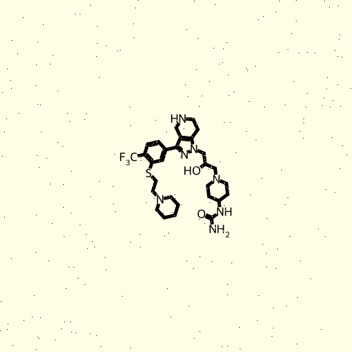 NC(=O)NC1CCN(CC(O)Cn2nc(-c3ccc(C(F)(F)F)c(SCCN4CCCCC4)c3)c3c2CCNC3)CC1